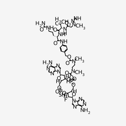 CC(C)[C@H](NC(=O)CN(C)N=N)C(=O)N[C@@H](CCCNC(N)=O)C(=O)Nc1ccc(COC(=O)N(C)CCN(C)C(=O)O[C@@H]2[C@@H]3O[PH](=O)OC[C@H]4O[C@@H](n5cnc6c(N)ncnc65)[C@H](F)[C@@H]4O[P@](=O)(S)OC[C@H]3O[C@H]2n2cnc3c(N)ncnc32)cc1